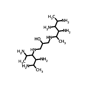 CC(N)C(N)C(N)C(C)NCC(O)CNC(C(C)N)C(N)C(C)N